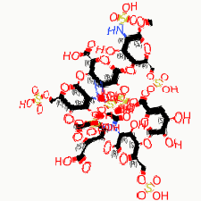 CO[C@H]1O[C@H](COS(=O)(=O)O)[C@@H](OC2O[C@@H](C(=O)O)[C@@H](O[C@H]3O[C@H](COS(=O)(=O)O)[C@@H](O[C@@H]4O[C@H](C(=O)O)[C@@H](O[C@H]5O[C@H](COS(=O)(=O)O)[C@@H](O[C@@H]6OC(C(=O)O)=C[C@H](O)[C@H]6O)[C@H](O)[C@H]5NC(C)=O)[C@H](O)[C@H]4O)[C@H](OS(=O)(=O)O)[C@H]3NS(=O)(=O)O)[C@H](O)[C@H]2OS(=O)(=O)O)[C@H](O)[C@H]1NS(=O)(=O)O